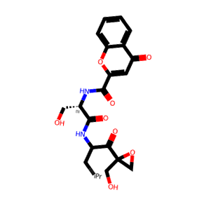 CC(C)CC(NC(=O)[C@H](CO)NC(=O)c1cc(=O)c2ccccc2o1)C(=O)C1(CO)CO1